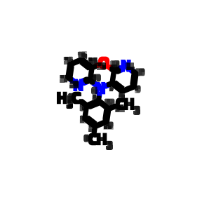 Cc1cc(C)c(N2c3cccnc3Oc3cccnc32)c(C)c1